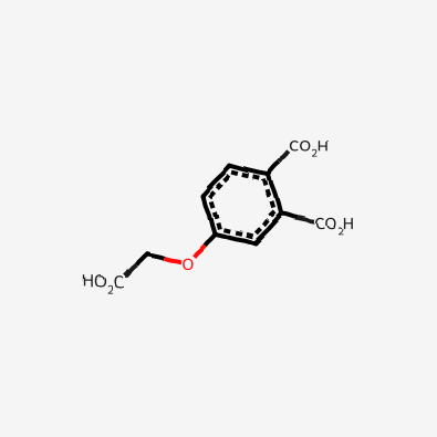 O=C(O)COc1ccc(C(=O)O)c(C(=O)O)c1